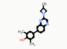 Cc1cc(-c2ccc3ncc(N4CC(C#N)C4)nc3c2)cc(C)c1O